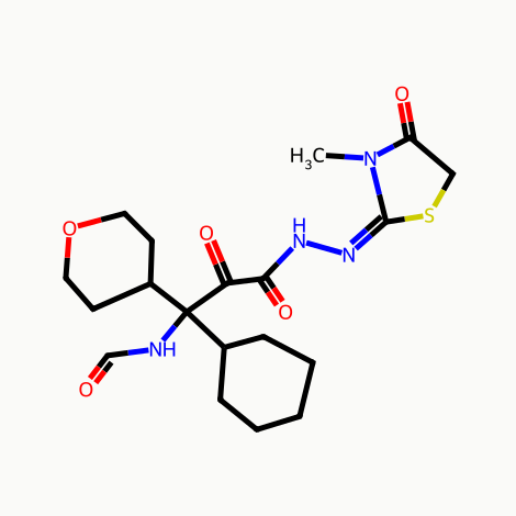 CN1C(=O)CSC1=NNC(=O)C(=O)C(NC=O)(C1CCCCC1)C1CCOCC1